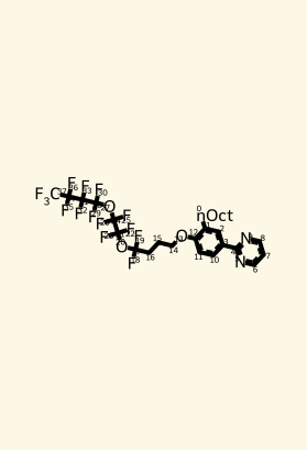 CCCCCCCCc1cc(-c2ncccn2)ccc1OCCCC(F)(F)OC(F)(F)C(F)(F)OC(F)(F)C(F)(F)C(F)(F)C(F)(F)F